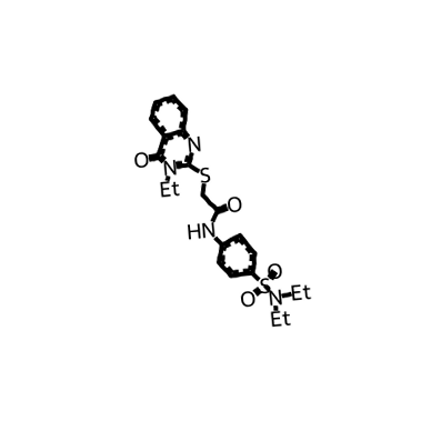 CCN(CC)S(=O)(=O)c1ccc(NC(=O)CSc2nc3ccccc3c(=O)n2CC)cc1